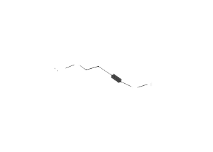 CCCOC#CCCSC#N